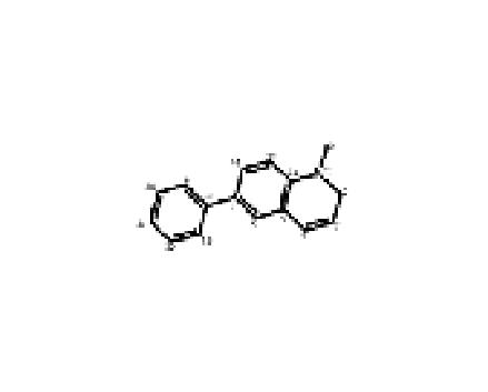 CN1CC=Cc2cc(-c3ccccc3)ccc21